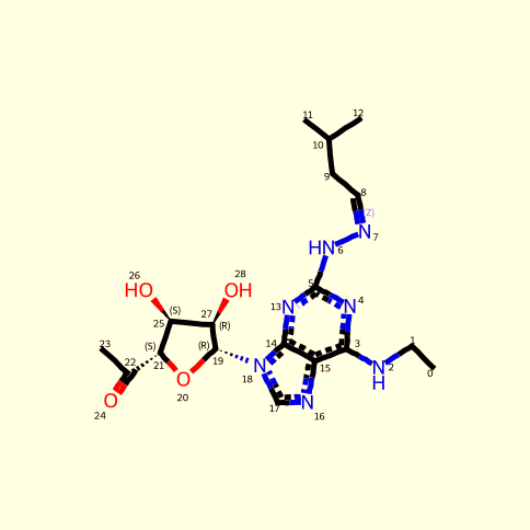 CCNc1nc(N/N=C\CC(C)C)nc2c1ncn2[C@@H]1O[C@H](C(C)=O)[C@@H](O)[C@H]1O